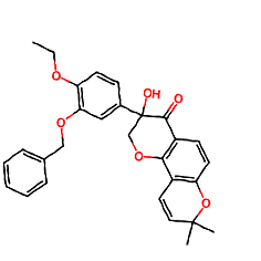 CCOc1ccc(C2(O)COc3c(ccc4c3C=CC(C)(C)O4)C2=O)cc1OCc1ccccc1